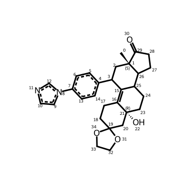 C[C@]12CC(c3ccc(-n4ccnc4)cc3)C3=C4CCC5(C[C@]4(O)CCC3C1CCC2=O)OCCO5